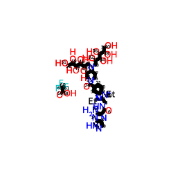 CCn1c(CNC(=O)c2nc3cn[nH]c3nc2N)[n+](CC)c2ccc(C(=O)N3CCC(N(CC(O)C(O)C(O)C(O)CO)CC(O)C(O)C(O)C(O)CO)CC3)cc21.O=C(O)C(F)(F)F